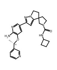 C[C@H](Oc1cc(-c2cc3n(n2)CCC32CCN(C(=O)NC3CCC3)C2)cnc1N)c1cccnc1